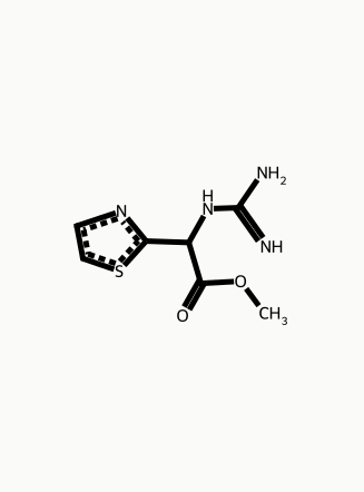 COC(=O)C(NC(=N)N)c1nccs1